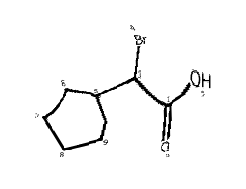 O=C(O)C(Br)C1CCCC1